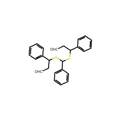 O=CCC(SC(SC(CC=O)c1ccccc1)c1ccccc1)c1ccccc1